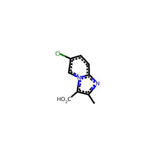 Cc1nc2ccc(Cl)cn2c1C(=O)O